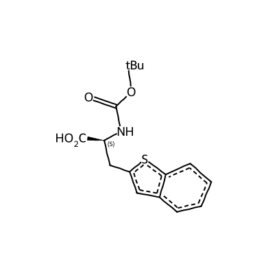 CC(C)(C)OC(=O)N[C@@H](Cc1cc2ccccc2s1)C(=O)O